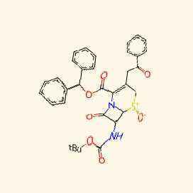 CC(C)(C)OC(=O)NC1C(=O)N2C(C(=O)OC(c3ccccc3)c3ccccc3)=C(CC(=O)c3ccccc3)C[S+]([O-])C12